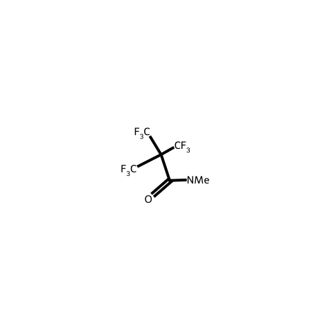 CNC(=O)C(C(F)(F)F)(C(F)(F)F)C(F)(F)F